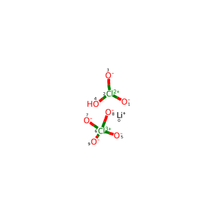 [Li+].[O-][Cl+2]([O-])O.[O-][Cl+3]([O-])([O-])[O-]